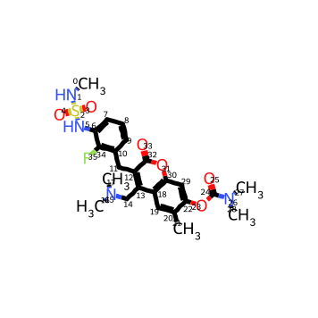 CNS(=O)(=O)Nc1cccc(Cc2c(CN(C)C)c3cc(C)c(OC(=O)N(C)C)cc3oc2=O)c1F